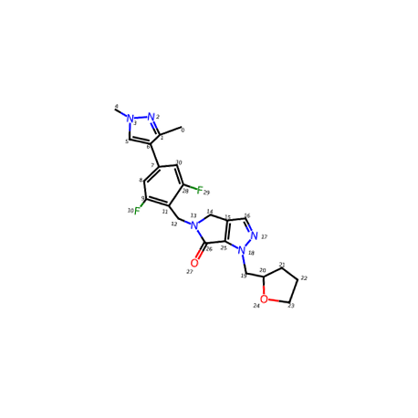 Cc1nn(C)cc1-c1cc(F)c(CN2Cc3cnn(CC4CCCO4)c3C2=O)c(F)c1